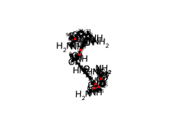 CCNC(=O)C(CCCCNC(=O)CCCCCNC(=O)Nc1cc(NC(=N)N)cc(C)c1-c1cccc(S(=O)(=O)c2cc(C(=N)N)sc2SC)c1)NC(=O)CCCCCNC(=O)Nc1cc(NC(=N)N)cc(C)c1-c1cccc(S(=O)(=O)c2cc(C(=N)N)sc2SC)c1